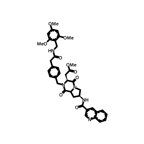 COC(=O)C[C@H]1C(=O)N2C[C@@H](NC(=O)c3cnc4ccccc4c3)CC2C(=O)N1Cc1ccc(CC(=O)NCc2c(OC)cc(OC)cc2OC)cc1